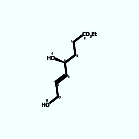 CCOC(=O)CC[C@H](O)/C=C/CO